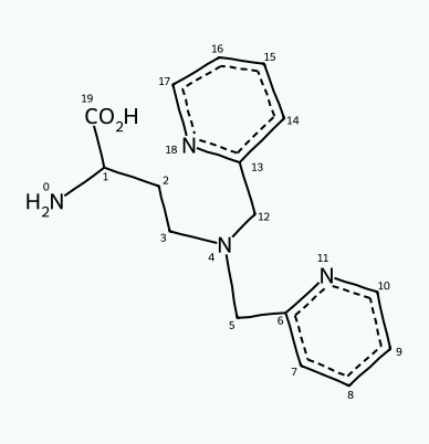 NC(CCN(Cc1ccccn1)Cc1ccccn1)C(=O)O